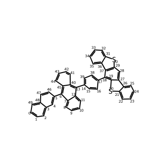 c1ccc2cc(-c3c4ccccc4c(-c4ccc(-c5c6sc7ccccc7c6cc6sc7ccccc7c56)cc4)c4ccccc34)ccc2c1